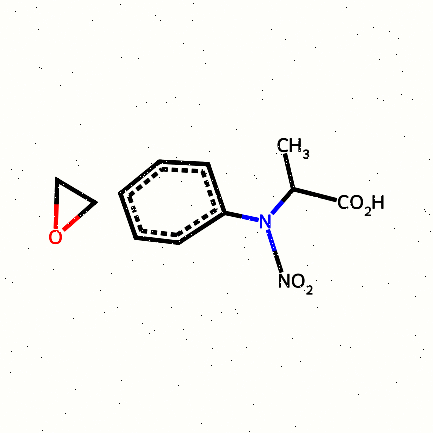 C1CO1.CC(C(=O)O)N(c1ccccc1)[N+](=O)[O-]